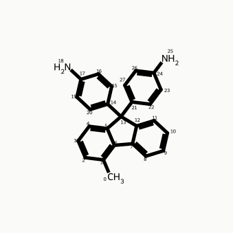 Cc1cccc2c1-c1ccccc1C2(c1ccc(N)cc1)c1ccc(N)cc1